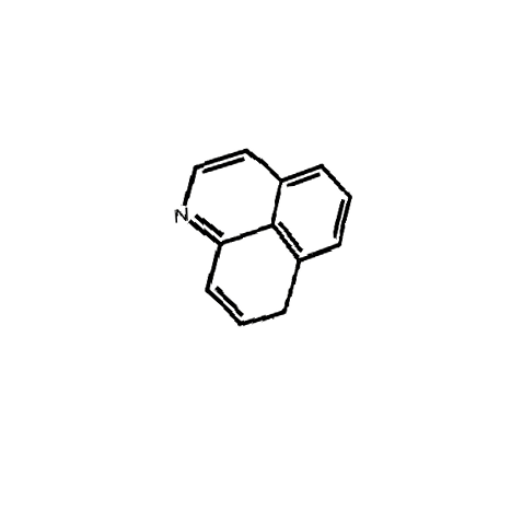 C1=Cc2nccc3cccc(c23)C1